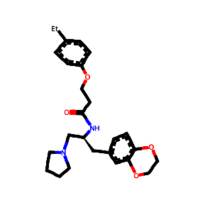 CCc1ccc(OCCC(=O)N[C@@H](Cc2ccc3c(c2)OCCO3)CN2CCCC2)cc1